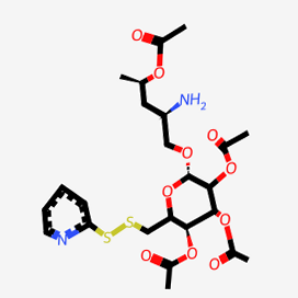 CC(=O)OC1C(OC(C)=O)[C@@H](OC(C)=O)C(CSSc2ccccn2)O[C@@H]1OC[C@H](N)C[C@@H](C)OC(C)=O